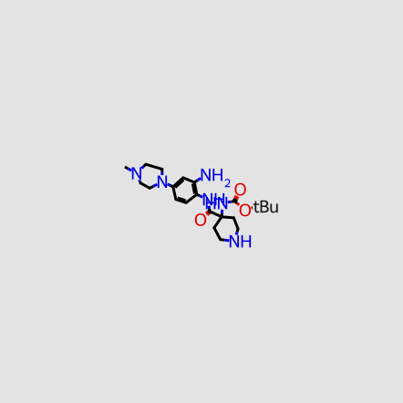 CN1CCN(c2ccc(NC(=O)C3(NC(=O)OC(C)(C)C)CCNCC3)c(N)c2)CC1